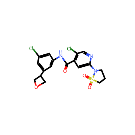 O=C(Nc1cc(Cl)cc(C2COC2)c1)c1cc(N2CCCS2(=O)=O)ncc1Cl